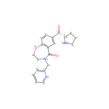 O=C(c1ccc2c(c1)C(=O)N(Cc1ncccn1)CCO2)[C@@H]1CCCN1